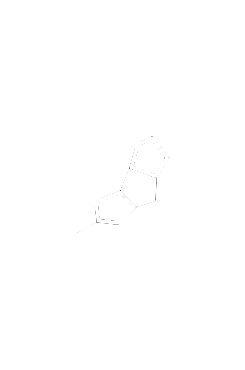 Cc1cc2c(s1)-c1sccc1C2